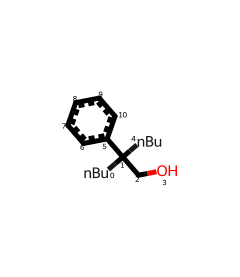 CCCCC(CO)(CCCC)c1ccccc1